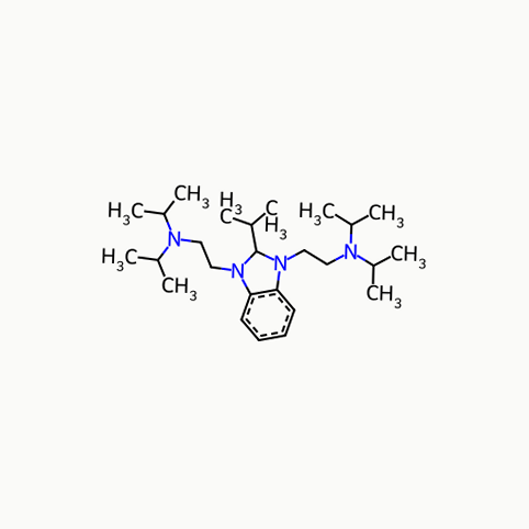 CC(C)C1N(CCN(C(C)C)C(C)C)c2ccccc2N1CCN(C(C)C)C(C)C